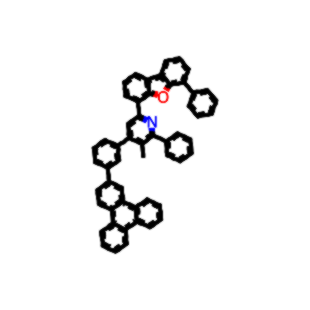 Cc1c(-c2cccc(-c3ccc4c5ccccc5c5ccccc5c4c3)c2)cc(-c2cccc3c2oc2c(-c4ccccc4)cccc23)nc1-c1ccccc1